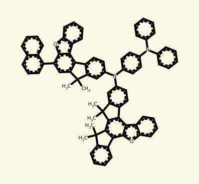 CC1(C)c2cc(N(c3ccc(N(c4ccccc4)c4ccccc4)cc3)c3ccc4c(c3)C(C)(C)c3c5c(c6oc7ccccc7c6c3-4)-c3ccccc3C5(C)C)ccc2-c2c1cc(-c1cccc3ccccc13)c1oc3ccccc3c21